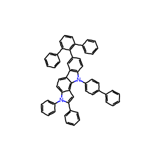 c1ccc(-c2ccc(-n3c4ccc(-c5c(-c6ccccc6)cccc5-c5ccccc5)cc4c4ccc5c(cc(-c6ccccc6)n5-c5ccccc5)c43)cc2)cc1